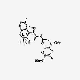 CC(=O)O[C@@H](CC(=O)OC1=CC[C@@]2(O)[C@H]3Cc4ccc(C)c5c4[C@@]2(CCN3C)[C@H]1O5)C(=O)O[C@@H](C)C(=O)OC(C)(C)C